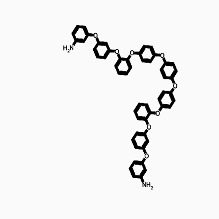 Nc1cccc(Oc2cccc(Oc3ccccc3Oc3ccc(Oc4ccc(Oc5ccc(Oc6ccccc6Oc6cccc(Oc7cccc(N)c7)c6)cc5)cc4)cc3)c2)c1